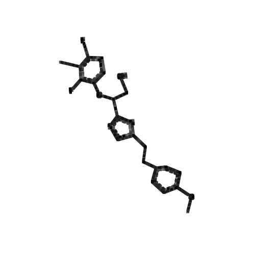 COc1ccc(CCc2csc(C(CO)Oc3ccc(F)c(C)c3F)n2)cc1